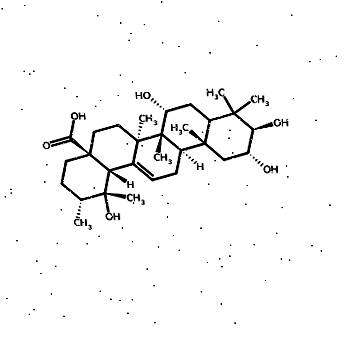 C[C@@H]1CC[C@]2(C(=O)O)CC[C@]3(C)C(=CC[C@H]4[C@@]3(C)[C@H](O)CC3C(C)(C)[C@@H](O)[C@H](O)C[C@@]34C)[C@@H]2[C@]1(C)O